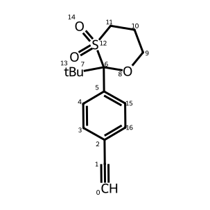 C#Cc1ccc(C2(C(C)(C)C)OCCCS2(=O)=O)cc1